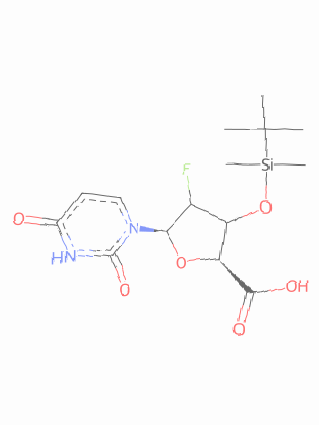 CC(C)(C)[Si](C)(C)OC1C(F)[C@H](n2ccc(=O)[nH]c2=O)O[C@@H]1C(=O)O